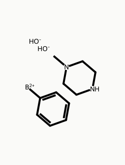 CN1CCNCC1.[B+2]c1ccccc1.[OH-].[OH-]